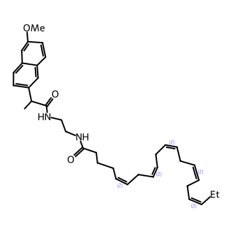 CC/C=C\C/C=C\C/C=C\C/C=C\C/C=C\CCCC(=O)NCCNC(=O)C(C)c1ccc2cc(OC)ccc2c1